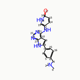 CN(C)Cc1ccc(-c2cc3c(Nc4ccc(=O)[nH]c4)ncnc3[nH]2)cc1